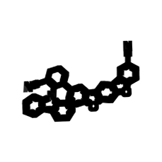 N#CC1=C(n2c3ccccc3c3ccccc32)C(c2ccc3oc4cc5oc6ccc(C#N)cc6c5cc4c3c2)=CCC1